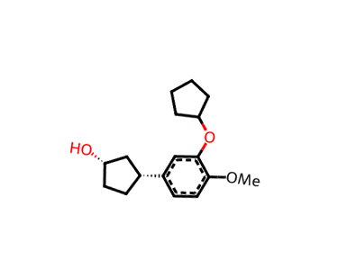 COc1ccc([C@@H]2CC[C@H](O)C2)cc1OC1CCCC1